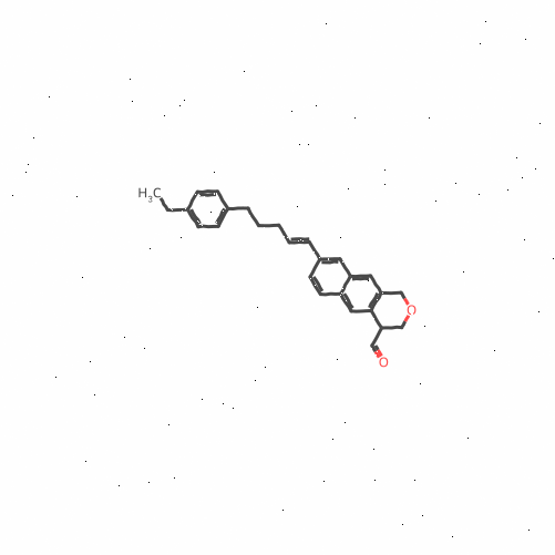 CCc1ccc(CCC/C=C/c2ccc3cc4c(cc3c2)COCC4C=O)cc1